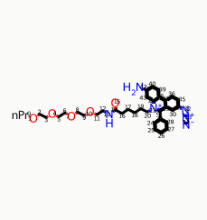 CCCOCCOCCOCCOCCNC(=O)CCCCC[n+]1c(-c2ccccc2)c2cc(N=[N+]=[N-])ccc2c2ccc(N)cc21